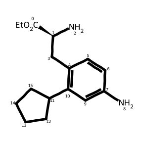 CCOC(=O)[C@@H](N)Cc1ccc(N)cc1C1CCCC1